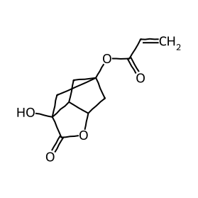 C=CC(=O)OC12CC3OC(=O)C(O)(C1)C3C2